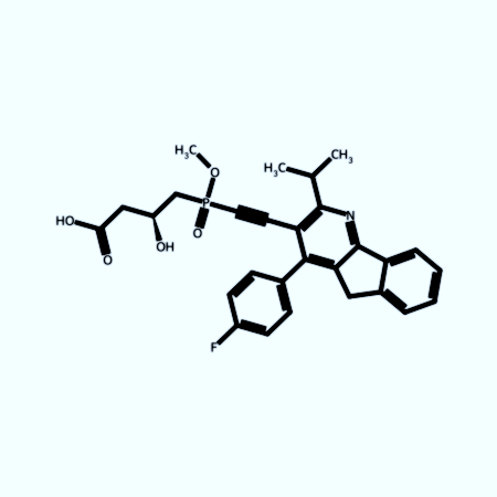 COP(=O)(C#Cc1c(C(C)C)nc2c(c1-c1ccc(F)cc1)Cc1ccccc1-2)C[C@@H](O)CC(=O)O